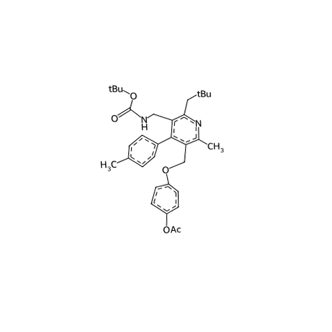 CC(=O)Oc1ccc(OCc2c(C)nc(CC(C)(C)C)c(CNC(=O)OC(C)(C)C)c2-c2ccc(C)cc2)cc1